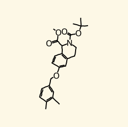 COC(=O)C1c2ccc(OCc3ccc(C)c(C)c3)cc2CCN1C(=O)OC(C)(C)C